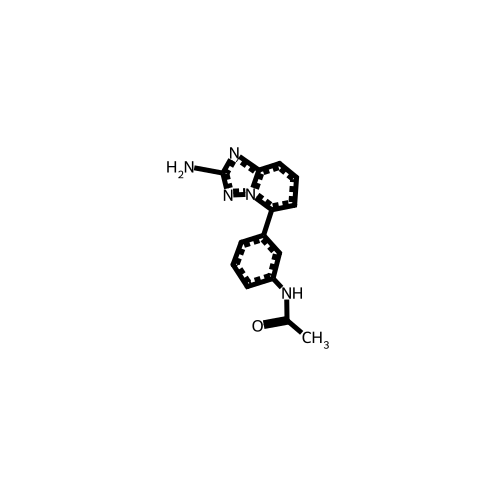 CC(=O)Nc1cccc(-c2cccc3nc(N)nn23)c1